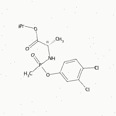 CC(C)OC(=O)[C@H](C)NP(C)(=O)Oc1ccc(Cl)c(Cl)c1